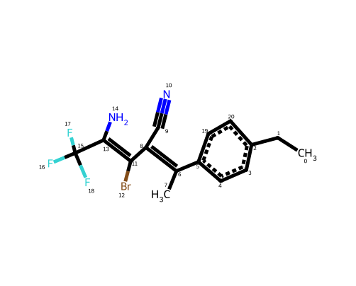 CCc1ccc(/C(C)=C(C#N)/C(Br)=C(\N)C(F)(F)F)cc1